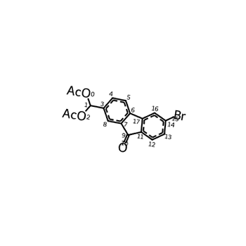 CC(=O)OC(OC(C)=O)c1ccc2c(c1)C(=O)c1ccc(Br)cc1-2